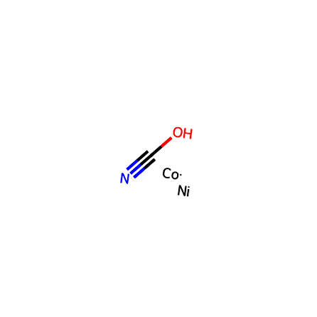 N#CO.[Co].[Ni]